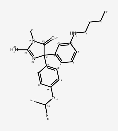 CCCCNc1cccc(C2(c3ccc(OC(F)F)cc3)N=C(N)N(C)C2=O)c1